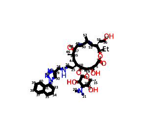 CC[C@H]1OC(=O)C[C@@H](O)[C@H](C)[C@@H](O[C@@H]2O[C@H](C)[C@@H](O)C(N(C)C)C2O)[C@@H](CCNCc2cn(-c3cccc4ccccc34)nn2)C[C@@H](C)C(=O)/C=C/C(C)=C/[C@@H]1CCO